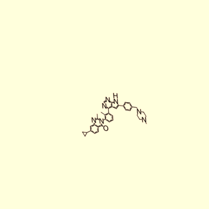 Cc1c(-c2ncnc3[nH]c(-c4ccc(CN5CCN(C)CC5)cc4)cc23)cccc1-n1c(C)nc2cc(C3CC3)ccc2c1=O